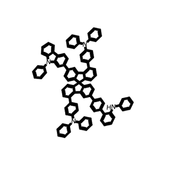 c1ccc(Nc2ccccc2-c2ccc(-c3ccc4c(c3)-c3c(-c5ccc(N(c6ccccc6)c6ccccc6)cc5)cccc3C43c4ccc(-c5ccc6c7ccccc7n(-c7ccccc7)c6c5)cc4-c4c(-c5ccc(N(c6ccccc6)c6ccccc6)cc5)cccc43)cc2)cc1